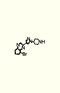 Brc1cccc2ncc(-c3cnn(C4CCNCC4)c3)nc12